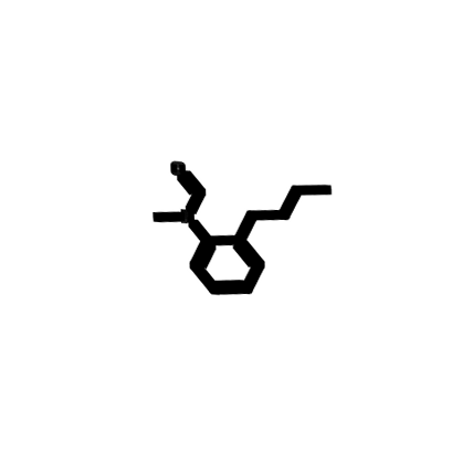 CCCCc1ccccc1N(C)C=O